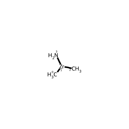 [CH3][Zr]([CH3])[NH2]